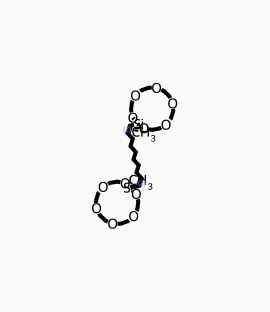 C[Si]1(/C=C\CCCCCC/C=C\[Si]2(C)OCCOCCOCCOCCOCCO2)OCCOCCOCCOCCOCCO1